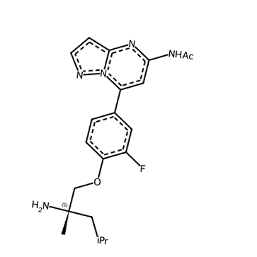 CC(=O)Nc1cc(-c2ccc(OC[C@@](C)(N)CC(C)C)c(F)c2)n2nccc2n1